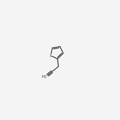 C#CCc1cccs1